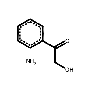 N.O=C(CO)c1ccccc1